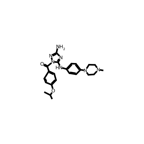 CC(C)Oc1ccc(C(=O)n2nc(N)nc2Nc2ccc(N3CCN(C)CC3)cc2)cc1